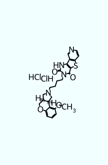 COc1cccc2c1[C@@H]1CN(CCCCn3c(=O)[nH]c4c(sc5ccncc54)c3=O)C[C@@H]1CO2.Cl.Cl